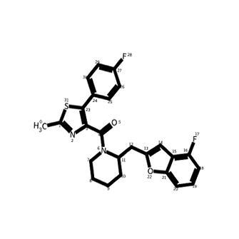 Cc1nc(C(=O)N2CCCCC2Cc2cc3c(F)cccc3o2)c(-c2ccc(F)cc2)s1